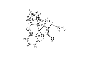 Nc1ccc(N2CCCC2)c2c1C(=O)OC21c2ccccc2Oc2ccccc21